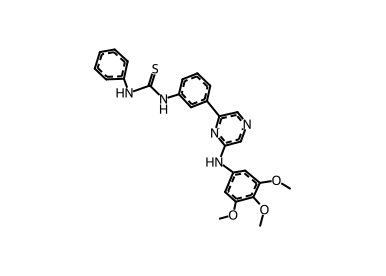 COc1cc(Nc2cncc(-c3cccc(NC(=S)Nc4ccccc4)c3)n2)cc(OC)c1OC